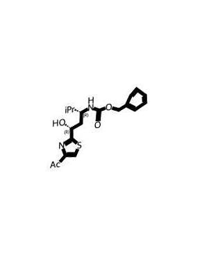 CC(=O)c1csc([C@H](O)C[C@@H](NC(=O)OCc2ccccc2)C(C)C)n1